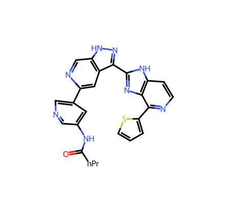 CCCC(=O)Nc1cncc(-c2cc3c(-c4nc5c(-c6cccs6)nccc5[nH]4)n[nH]c3cn2)c1